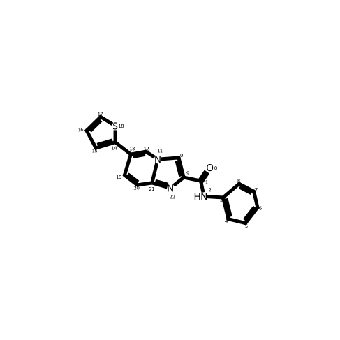 O=C(Nc1ccccc1)c1cn2cc(-c3cccs3)ccc2n1